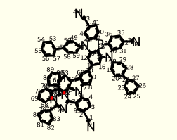 N#Cc1ccc(-n2c3ccc(-c4cc5c6c(c4)N(c4ccc(-c7ccccc7)cc4)c4cc(C#N)ccc4B6c4ccc(C#N)cc4N5c4ccc(-c5ccccc5)cc4)cc3c3ccc(-c4ccccc4)cc32)c(-c2nc(-c3ccccc3)nc(-c3ccccc3)n2)c1